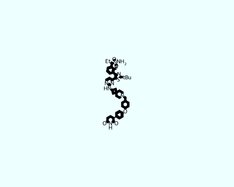 CCC(c1cccc(-c2nc(C(C)(C)C)sc2-c2ccnc(NC3CC4(CCN(CC5CCC(Oc6ccc([C@@H]7CCC(=O)NC7=O)cc6)CC5)CC4)C3)n2)c1F)S(N)(=O)=O